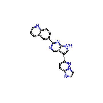 c1cnc2ccc(-c3ncc4c(-c5ccc6nccn6n5)c[nH]c4n3)cc2c1